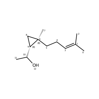 CC(C)=CCC[C@]1(C)C[C@H]1C(C)O